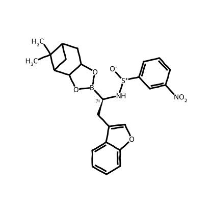 CC1(C)C2CC3OB([C@H](Cc4coc5ccccc45)N[S+]([O-])c4cccc([N+](=O)[O-])c4)OC3C1C2